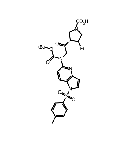 CC[C@@H]1CN(C(=O)O)C[C@@H]1C(=O)CN(C(=O)OC(C)(C)C)c1cnc2c(ccn2S(=O)(=O)c2ccc(C)cc2)n1